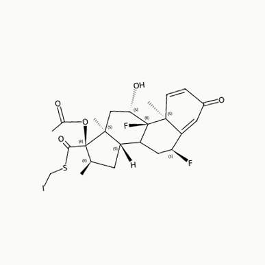 CC(=O)O[C@]1(C(=O)SCI)[C@H](C)C[C@H]2C3C[C@H](F)C4=CC(=O)C=C[C@]4(C)[C@@]3(F)[C@@H](O)C[C@@]21C